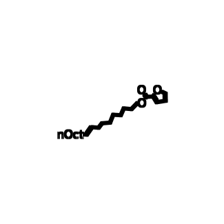 CCCCCCCCC=CCCCCCCCCOC(=O)c1ccco1